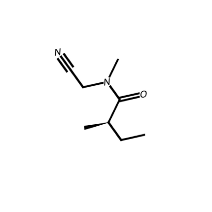 CC[C@@H](C)C(=O)N(C)CC#N